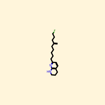 C=C(CCCF)CCCCCc1ccc2c(n1)NCCC2